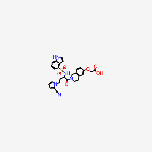 N#Cc1cccn1CCC(NS(=O)(=O)c1cccc2[nH]ccc12)C(=O)N1CCc2cc(OCC(=O)O)ccc2C1